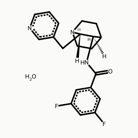 O.O=C(N[C@@H]1C2CCN(CC2)[C@H]1Cc1cccnc1)c1cc(F)cc(F)c1